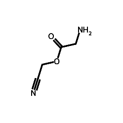 N#CCOC(=O)CN